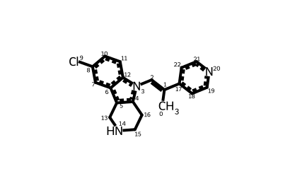 CC(=Cn1c2c(c3cc(Cl)ccc31)CNCC2)c1ccncc1